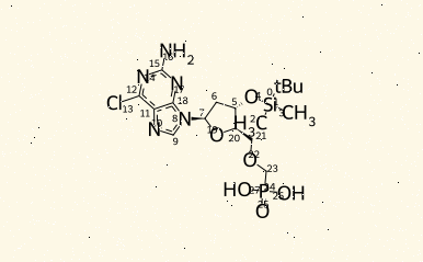 CC(C)(C)[Si](C)(C)O[C@H]1C[C@H](n2cnc3c(Cl)nc(N)nc32)O[C@@H]1COCP(=O)(O)O